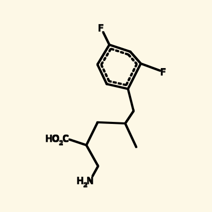 CC(Cc1ccc(F)cc1F)CC(CN)C(=O)O